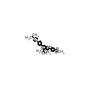 CC(C)N1CCN(c2ccc(-c3cc4[nH]c(-c5ccc(S(C)(=O)=O)cc5)cc4c(C(C)(C)O)n3)cc2)CC1